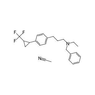 CC#N.CCN(CCCc1ccc(C2CC2C(F)(F)F)cc1)Cc1ccccc1